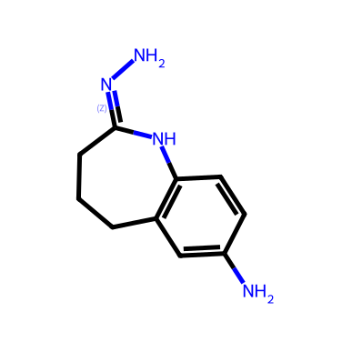 N/N=C1/CCCc2cc(N)ccc2N1